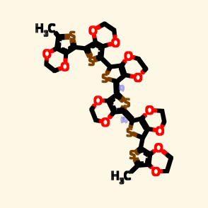 Cc1sc(-c2sc(C3S/C(=c4/s/c(=C5/SC(c6sc(C)c7c6OCCO7)C6=C5OCCO6)c5c4OCCO5)C4=C3OCCO4)c3c2OCCO3)c2c1OCCO2